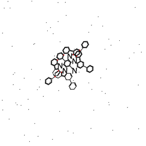 N#Cc1c(-n2c3c(c4c2C=CC(c2ccccc2)C4)CC(C2=CCCC=C2)C=C3)c(-n2c3c(c4ccccc42)CCC=C3)c(-c2ccccc2)c(-n2c3ccccc3c3ccccc32)c1-n1c2ccc(-c3ccccc3)cc2c2cc(-c3ccccc3)ccc21